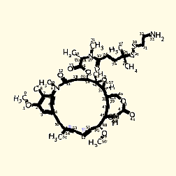 COc1cc2cc(c1Cl)N(C)C(=O)C[C@H](OC(=O)[C@H](C)N(C)C(=O)CCC(C)(C)SSCCN)[C@]1(C)O[C@H]1C1(C)COC(=O)N[C@](O)(C1)[C@H](OC)/C=C/C=C(\C)C2